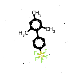 Cc1cc(C)c(-c2ccc(S(F)(F)(F)(F)F)cc2)c(C)c1